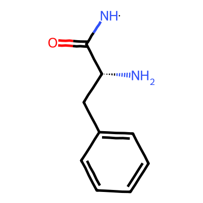 [NH]C(=O)[C@H](N)Cc1ccccc1